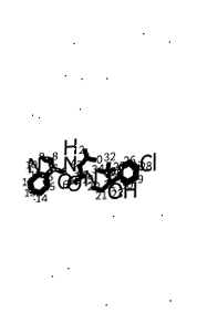 CC(C)[C@@H](NC(=O)c1ccnc2ccccc12)C(=O)N1CC[C@](O)(c2ccc(Cl)cc2)C(C)(C)C1